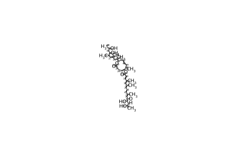 CC(=C\C=C\C(C)=C\[C@H](O)[C@@H](O)C[C@@H](C)O)/C=C(C)/C=C/C(=O)O[C@H]1CCCC(=O)OC([C@@H](C)C/C(C)=C/[C@@H](C)[C@H](O)C[C@@H](C)O)C/C=C/C[C@@H]1C